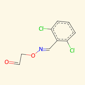 O=CCON=Cc1c(Cl)cccc1Cl